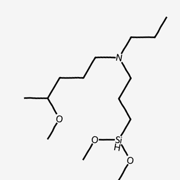 CCCN(CCCC(C)OC)CCC[SiH](OC)OC